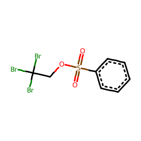 O=S(=O)(OCC(Br)(Br)Br)c1ccccc1